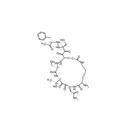 CC(=O)[C@H](Cc1ccccc1)NN[C@@H](CO)C(=O)C(=O)C1CCC(=O)NCCCCC(N)C(=O)N[C@@H](CC(N)=O)C(=O)C(=O)[C@H]([C@@H](C)O)NC(=O)[C@H](CO)NN1